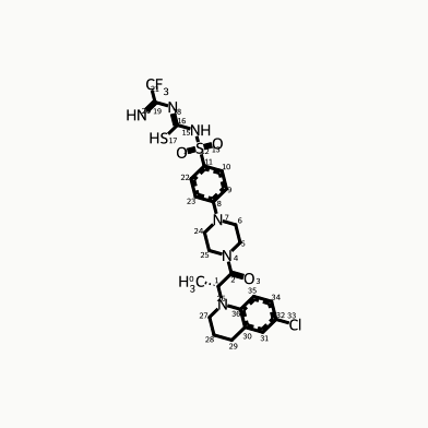 C[C@H](C(=O)N1CCN(c2ccc(S(=O)(=O)N/C(S)=N/C(=N)C(F)(F)F)cc2)CC1)N1CCCc2cc(Cl)ccc21